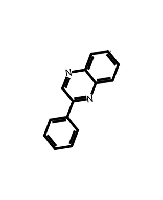 [c]1ccc2nc(-c3ccccc3)cnc2c1